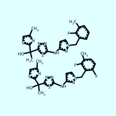 Cc1csc(C(C)(O)c2nnc(Nc3ccn(Cc4c(F)ccc(C)c4F)n3)s2)n1.Cc1csc(C(C)(O)c2nnc(Nc3ccn(Cc4cccc(C)c4F)n3)s2)n1